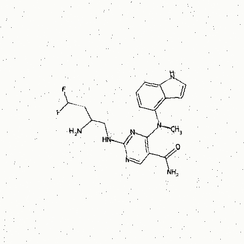 CN(c1nc(NCC(N)CC(F)F)ncc1C(N)=O)c1cccc2[nH]ccc12